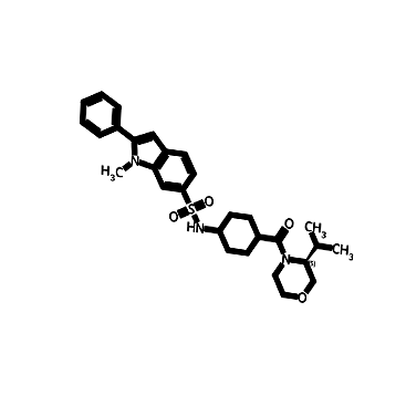 CC(C)[C@H]1COCCN1C(=O)C1CCC(NS(=O)(=O)c2ccc3cc(-c4ccccc4)n(C)c3c2)CC1